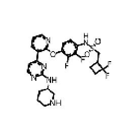 O=S(=O)(CC1CCC1(F)F)Nc1ccc(Oc2ncccc2-c2ccnc(N[C@H]3CCCNC3)n2)c(F)c1F